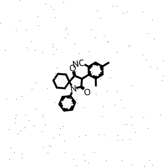 Cc1cc(C)c(C2C(=O)N(c3ccccc3)C3(CCCCC3)C2=O)c(C#N)c1